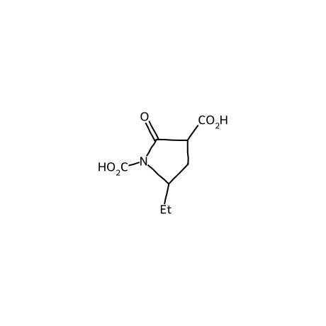 CCC1CC(C(=O)O)C(=O)N1C(=O)O